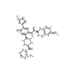 C=C(/C(C)=C(\N=C(/N)c1cc(C)on1)C(=O)N1CCC(N[C@H]2CCOC[C@H]2F)CC1)N1CCc2cc(C(F)(F)F)ccc2C1